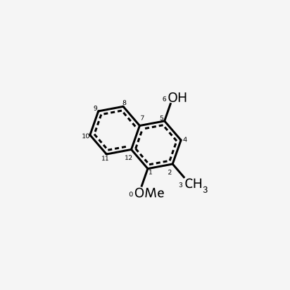 COc1c(C)cc(O)c2ccccc12